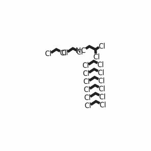 ClCCl.ClCCl.ClCCl.ClCCl.ClCCl.ClCCl.ClCCl.ClCCl.N#CCC(Cl)Cl